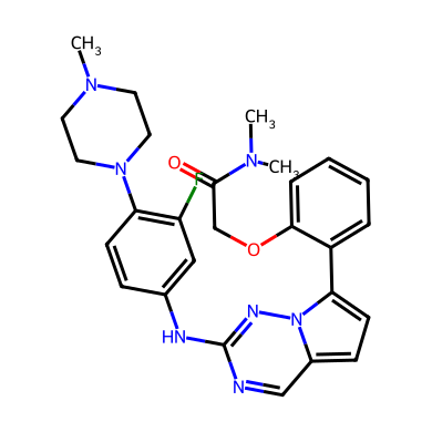 CN1CCN(c2ccc(Nc3ncc4ccc(-c5ccccc5OCC(=O)N(C)C)n4n3)cc2F)CC1